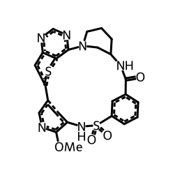 COc1ncc2cc1NS(=O)(=O)c1cccc(c1)C(=O)NC1CCCN(C1)c1ncnc3cc-2sc13